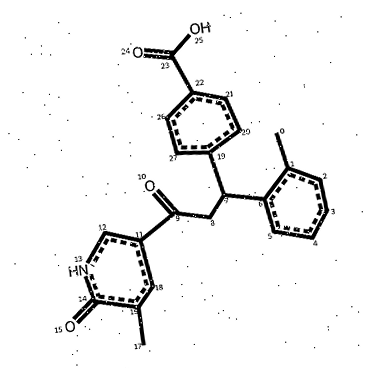 Cc1ccccc1C(CC(=O)c1c[nH]c(=O)c(C)c1)c1ccc(C(=O)O)cc1